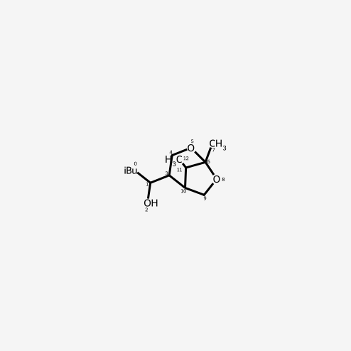 CCC(C)C(O)C1COC2(C)OCC1C2C